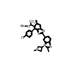 Cc1cc2nc(-c3ccc4nc(C)n(C5CN(C)C5)c4c3)sc2c(-c2ccc(Cl)cc2)c1C(OC(C)(C)C)C(=O)O